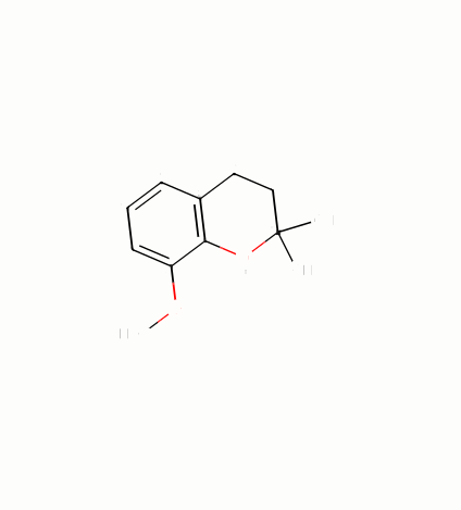 COc1cccc2c1OC(C)(C)CC2